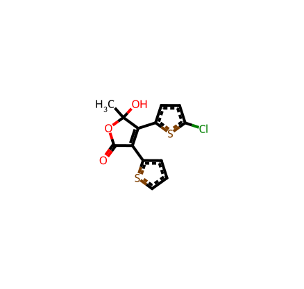 CC1(O)OC(=O)C(c2cccs2)=C1c1ccc(Cl)s1